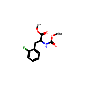 CC(C)OC(=O)C(Cc1ccccc1F)NC(=O)OC(C)(C)C